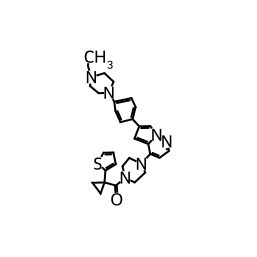 CCN1CCN(c2ccc(-c3cc4c(N5CCN(C(=O)C6(c7cccs7)CC6)CC5)ccnn4c3)cc2)CC1